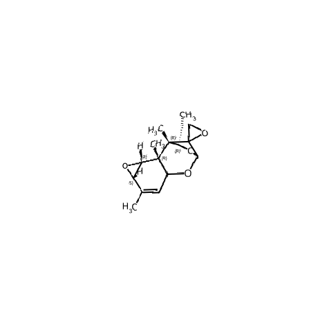 CC1=CC2OC3C[C@@H](C)[C@@](C)(C34CO4)[C@@]2(C)[C@H]2O[C@@H]12